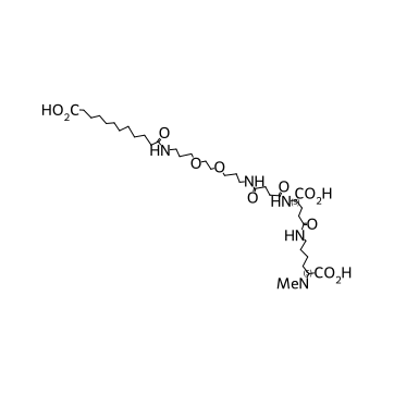 CN[C@@H](CCCCNC(=O)CC[C@H](NC(=O)CCC(=O)NCCCOCCOCCCNC(=O)CCCCCCCCCCC(=O)O)C(=O)O)C(=O)O